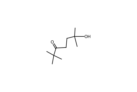 CC(C)(O)CCC(=O)C(C)(C)C